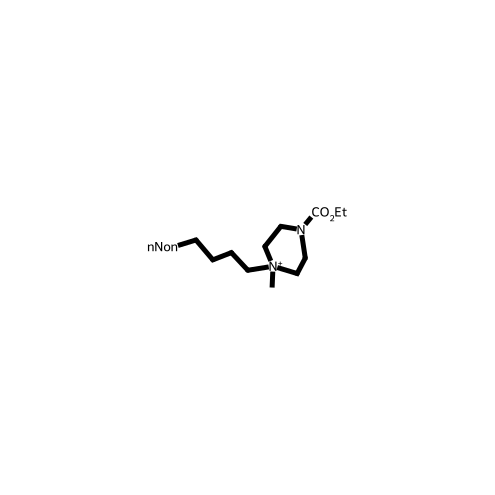 CCCCCCCCCCCCC[N+]1(C)CCN(C(=O)OCC)CC1